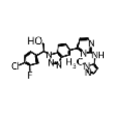 Cn1nccc1Nc1nccc(-c2ccc3c(c2)nnn3C(CO)c2ccc(Cl)c(F)c2)n1